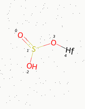 O=S(O)[O][Hf]